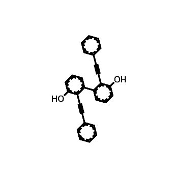 Oc1cccc(-c2cccc(O)c2C#Cc2ccccc2)c1C#Cc1ccccc1